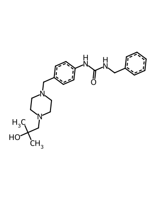 CC(C)(O)CN1CCN(Cc2ccc(NC(=O)NCc3ccccc3)cc2)CC1